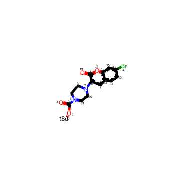 CC(C)(C)OC(=O)N1CCN(c2cc3ccc(Br)cc3oc2=O)CC1